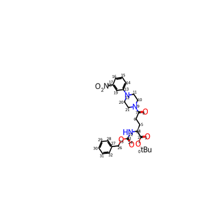 CC(C)(C)OC(=O)[C@H](CCC(=O)N1CCN(c2cccc([N+](=O)[O-])c2)CC1)NC(=O)OCc1ccccc1